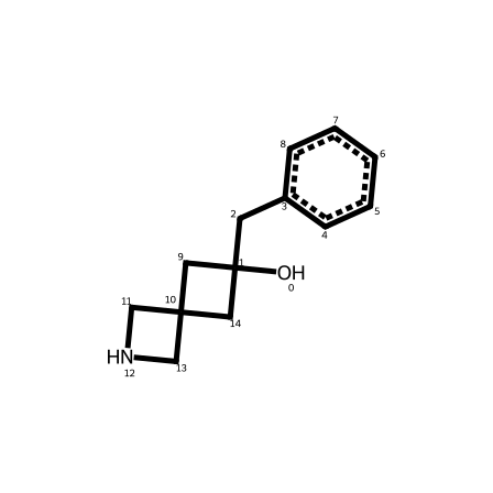 OC1(Cc2ccccc2)CC2(CNC2)C1